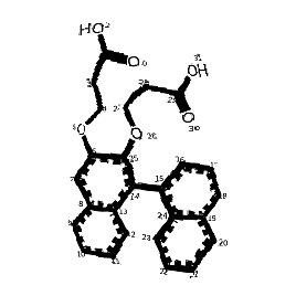 O=C(O)CCOc1cc2ccccc2c(-c2cccc3ccccc23)c1OCCC(=O)O